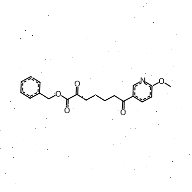 COc1ccc(C(=O)CCCCC(=O)C(=O)OCc2ccccc2)cn1